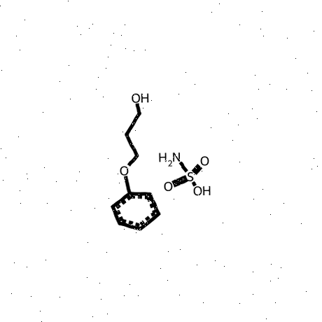 NS(=O)(=O)O.OCCCOc1ccccc1